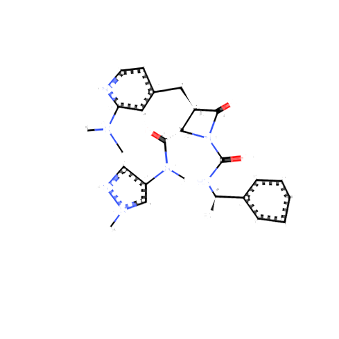 CC[C@@H](NC(=O)N1C(=O)[C@H](Cc2ccnc(N(C)C)c2)[C@H]1C(=O)N(C)c1cnn(C)c1)c1ccccc1